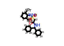 CC(C)c1cccc(C(C)C)c1NS(=O)(=O)CC(=O)NC(c1ccccc1)c1ccccc1